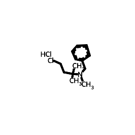 CN(Cc1ccccc1)C(C)(C)CCCl.Cl